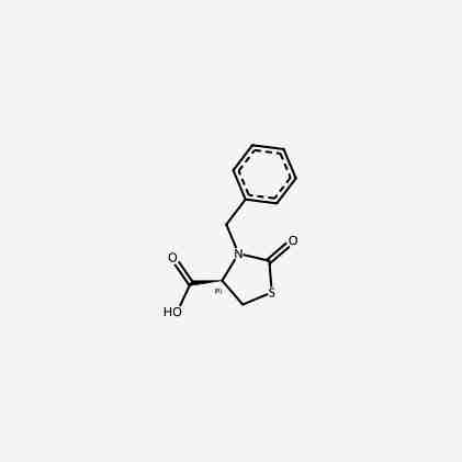 O=C(O)[C@@H]1CSC(=O)N1Cc1ccccc1